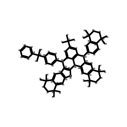 CC(C)(C)c1cc2c3c(c1)N(c1ccc(C(C)(C)c4ccccc4)cc1)c1c(oc4cc5c(cc14)C(C)(C)CCC5(C)C)B3c1cc3c(cc1N2c1ccc2c(c1)C(C)(C)CCC2(C)C)C(C)(C)CCC3(C)C